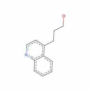 [O]CCCc1ccnc2ccccc12